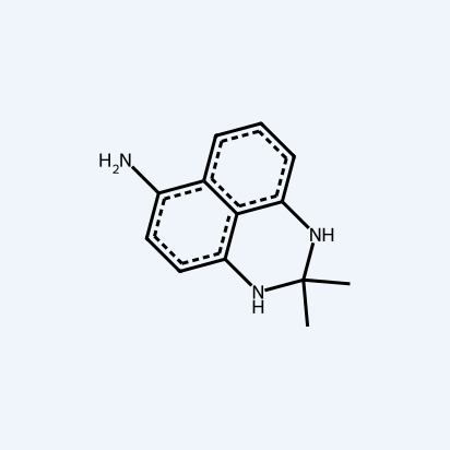 CC1(C)Nc2cccc3c(N)ccc(c23)N1